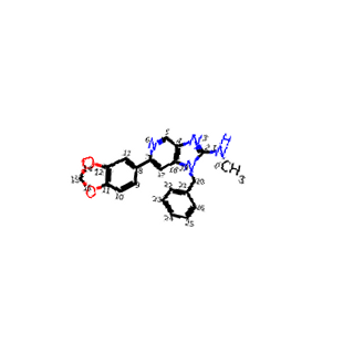 CNc1nc2cnc(-c3ccc4c(c3)OCO4)cc2n1Cc1ccccc1